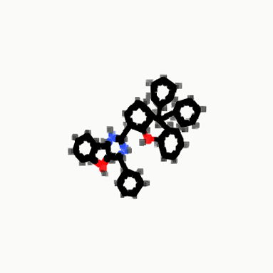 c1ccc(-c2nc(-c3cccc4c3Oc3ccccc3C4(c3ccccc3)c3ccccc3)nc3c2oc2ccccc23)cc1